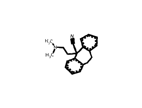 CN(C)CCC1(C#N)c2ccccc2CCc2ccccc21